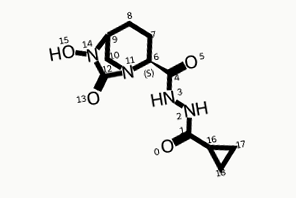 O=C(NNC(=O)[C@@H]1CCC2CN1C(=O)N2O)C1CC1